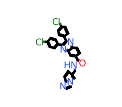 O=C(NCc1ccc2nccn2c1)c1ccc2nc(-c3ccc(Cl)cc3)c(-c3ccc(Cl)cc3)nc2c1